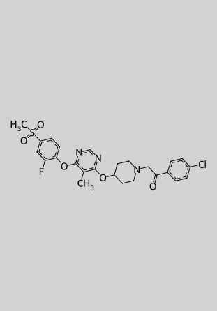 Cc1c(Oc2ccc(S(C)(=O)=O)cc2F)ncnc1OC1CCN(CC(=O)c2ccc(Cl)cc2)CC1